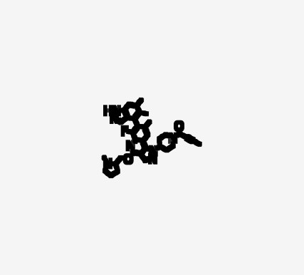 CC#CC(=O)N1CCC(n2ncc3c(OCC4CCCN4C)nc4c(F)c(-c5c(C)c(C)cc6[nH]ncc56)c(C)cc4c32)CC1